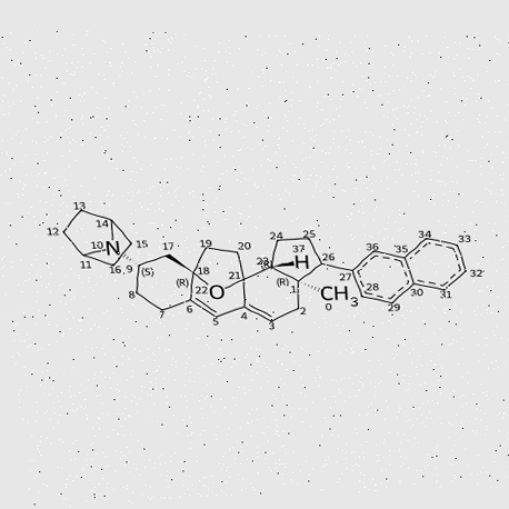 C[C@]12CC=C3C=C4CC[C@H](N5C6CCC5CC6)C[C@]45CCC3(O5)[C@@H]1CCC2c1ccc2ccccc2c1